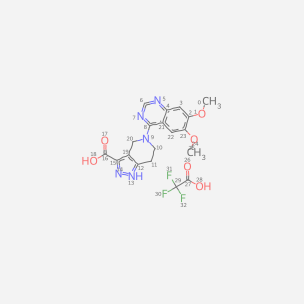 COc1cc2ncnc(N3CCc4[nH]nc(C(=O)O)c4C3)c2cc1OC.O=C(O)C(F)(F)F